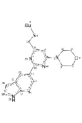 CCC(C)SCc1cc(N2CCOCC2)nc(-c2ccc3[nH]ccc3c2)n1